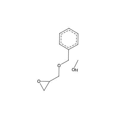 CO.c1ccc(COCC2CO2)cc1